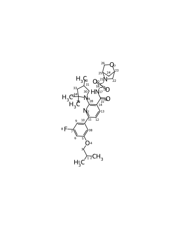 CC(C)COc1cc(F)cc(-c2ccc(C(=O)NS(=O)(=O)N3CC4CC3CO4)c(N3CC(C)CC3(C)C)n2)c1